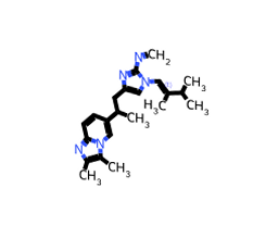 C=Nc1nc(CC(C)c2ccc3nc(C)c(C)n3c2)cn1/C=C(\C)C(C)C